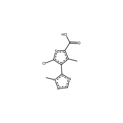 Cc1c(C(=O)O)sc(Cl)c1-c1ncnn1C